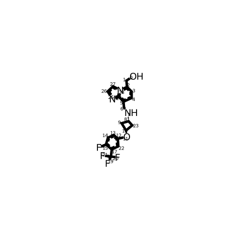 OCc1ccc(CN[C@H]2C[C@H](Oc3ccc(F)c(C(F)(F)F)c3)C2)c2nccn12